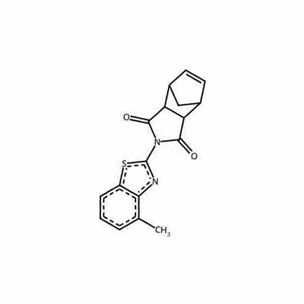 Cc1cccc2sc(N3C(=O)C4C5C=CC(C5)C4C3=O)nc12